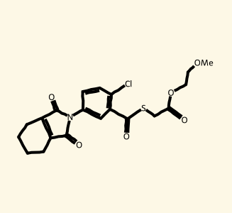 COCCOC(=O)CSC(=O)c1cc(N2C(=O)C3=C(CCCC3)C2=O)ccc1Cl